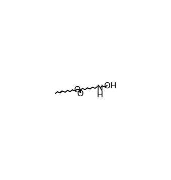 CCC=CCCCCCOC(=O)CCCCCCCNCCO